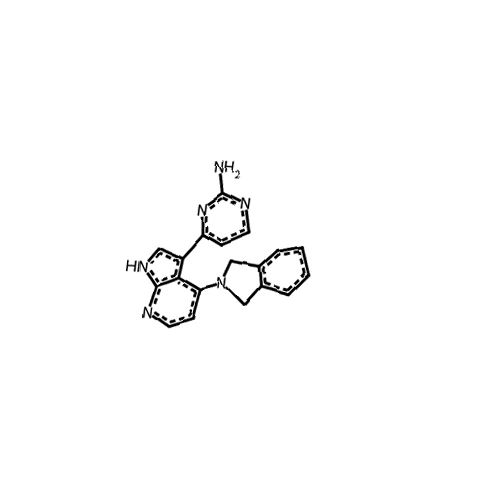 Nc1nccc(-c2c[nH]c3nccc(N4Cc5ccccc5C4)c23)n1